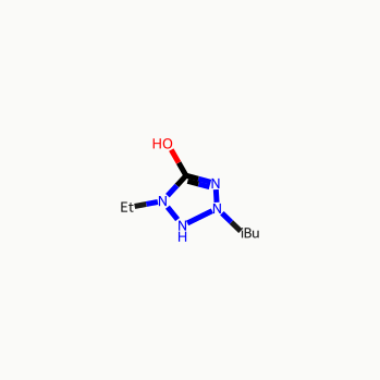 CCC(C)N1N=C(O)N(CC)N1